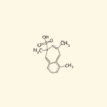 CC1=CC(C)(S(=O)(=O)O)C=c2cccc(C)c2=C1